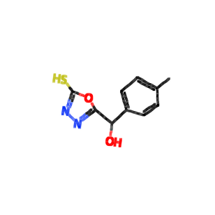 Cc1ccc(C(O)c2nnc(S)o2)cc1